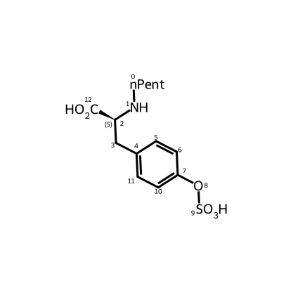 CCCCCN[C@@H](Cc1ccc(OS(=O)(=O)O)cc1)C(=O)O